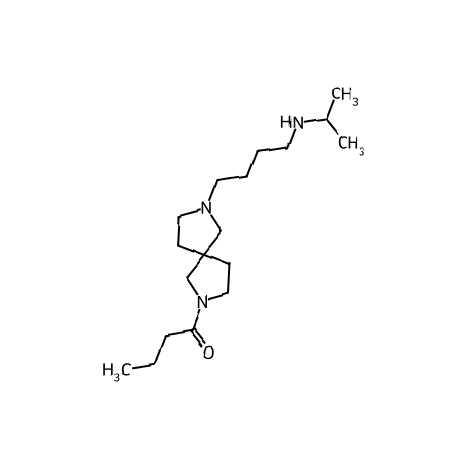 CCCC(=O)N1CCC2(CCN(CCCCNC(C)C)C2)C1